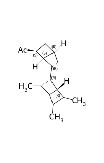 CC(=O)[C@H]1C[C@H]2C[C@H]([C@H]3C(C)C4C(C)C(C)[C@H]43)[C@H]21